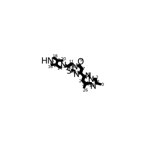 Cc1cn2nc(-c3cc(=O)n4cc(N5CC6CNCC6C5)sc4n3)cc(C)c2n1